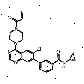 C=CC(=O)N1CCN(c2ncnc3cc(-c4cccc(C(=O)NC5CC5)c4)c(Cl)cc23)CC1